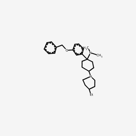 CCC1CCN(C2CCC(c3cccc(OCc4ccccc4)c3)(N(C)C)CC2)CC1